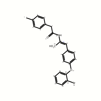 O=C(Cc1ccc(I)cc1)N/C(=C/c1ccc(Oc2ccccc2Br)cc1)C(=O)O